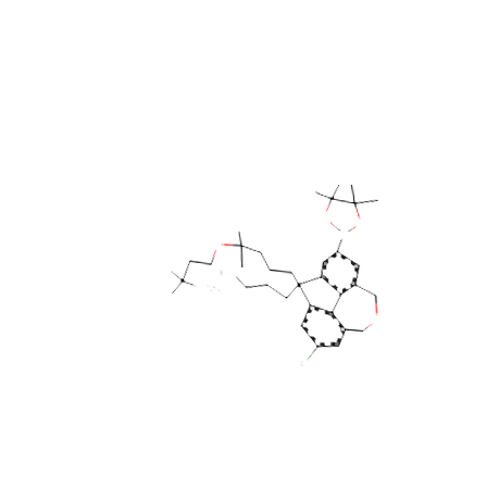 CCC(C)CCCC1(CCCC(C)(CC)OCCC(C)(CC)OC)c2cc(Br)cc3c2-c2c(cc(B4OC(C)(C)C(C)(C)O4)cc21)COC3